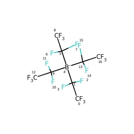 FC(F)(F)C(F)(F)[B-](C(F)(F)C(F)(F)F)(C(F)(F)C(F)(F)F)C(F)(F)C(F)(F)F